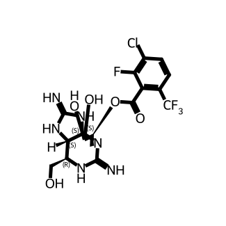 N=C1N[C@H]2[C@H](CO)NC(=N)N3C[C@H](OC(=O)c4c(C(F)(F)F)ccc(Cl)c4F)C(O)(O)[C@]23N1